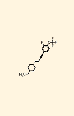 CC[C@H]1CC[C@H](C=CC#Cc2ccc(OC(F)(F)F)c(F)c2)CC1